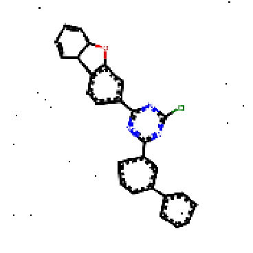 Clc1nc(-c2cccc(-c3ccccc3)c2)nc(-c2ccc3c(c2)OC2C=CC=CC32)n1